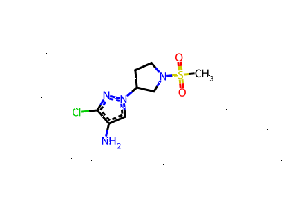 CS(=O)(=O)N1CCC(n2cc(N)c(Cl)n2)C1